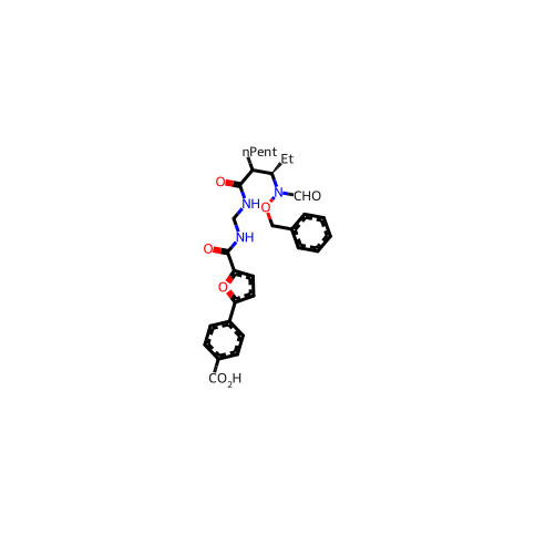 CCCCCC(C(=O)NCNC(=O)c1ccc(-c2ccc(C(=O)O)cc2)o1)[C@@H](CC)N(C=O)OCc1ccccc1